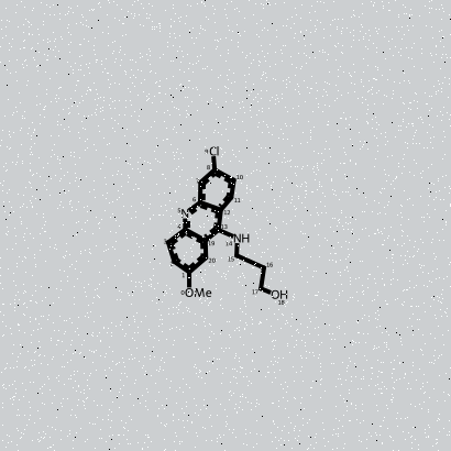 COc1ccc2nc3cc(Cl)ccc3c(NCCCO)c2c1